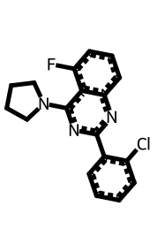 Fc1cccc2nc(-c3ccccc3Cl)nc(N3CCCC3)c12